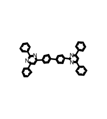 c1ccc(-c2cc(-c3ccc(-c4ccc(-c5nc(-c6ccccc6)cc(-c6ccccc6)n5)cc4)cc3)nc(-c3ccccc3)n2)cc1